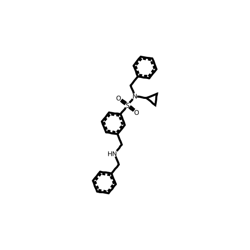 O=S(=O)(c1cccc(CNCc2ccccc2)c1)N(Cc1ccccc1)C1CC1